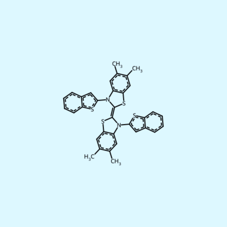 Cc1cc2c(cc1C)N(c1cc3ccccc3s1)/C(=C1\Sc3cc(C)c(C)cc3N1c1cc3ccccc3s1)S2